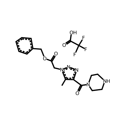 Cc1c(C(=O)N2CCNCC2)nnn1CC(=O)OCc1ccccc1.O=C(O)C(F)(F)F